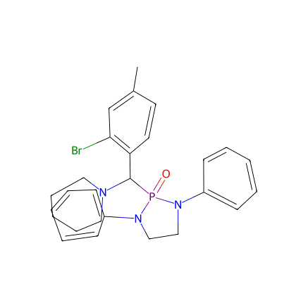 Cc1ccc(C(N2CCCCC2)P2(=O)N(c3ccccc3)CCN2c2ccccc2)c(Br)c1